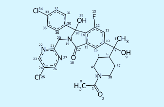 CC(=O)N1CCC(C(C)(O)c2cc(F)c3c(c2)C(=O)N(Cc2ncc(Cl)cn2)C3(O)c2ccc(Cl)cc2)CC1